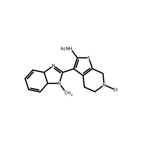 CCN1CCc2c(sc(NC(C)=O)c2C2=NC3C=CC=CC3N2C)C1